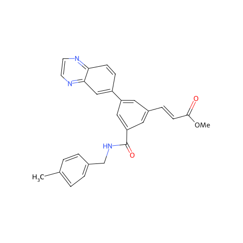 COC(=O)/C=C/c1cc(C(=O)NCc2ccc(C)cc2)cc(-c2ccc3nccnc3c2)c1